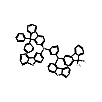 CC1(C)c2ccccc2-c2cc(N(c3cccc(N(c4ccc5c(c4)C(c4ccccc4)(c4ccccc4)c4ccccc4-5)c4ccc5oc6ccccc6c5c4)c3)c3cccc4oc5ccccc5c34)ccc21